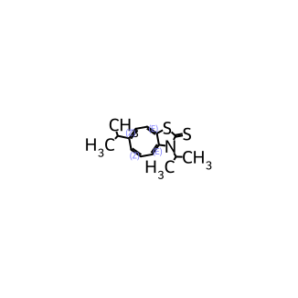 CC(C)C1=C/C=c2/sc(=S)n(C(C)C)/c2=C/C=C\1